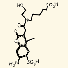 Cc1c(CC(=O)N(CCO)CCCCCC(=O)O)c(=O)oc2cc(N)c(S(=O)(=O)O)cc12